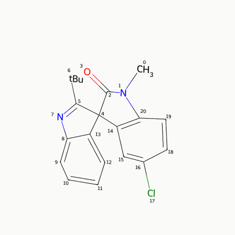 CN1C(=O)C2(C(C(C)(C)C)=Nc3ccccc32)c2cc(Cl)ccc21